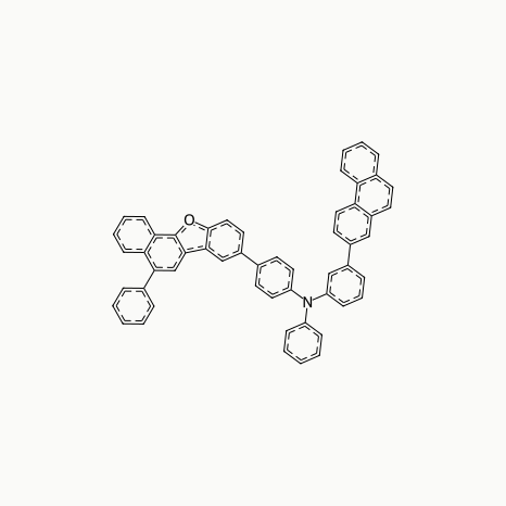 c1ccc(-c2cc3c4cc(-c5ccc(N(c6ccccc6)c6cccc(-c7ccc8c(ccc9ccccc98)c7)c6)cc5)ccc4oc3c3ccccc23)cc1